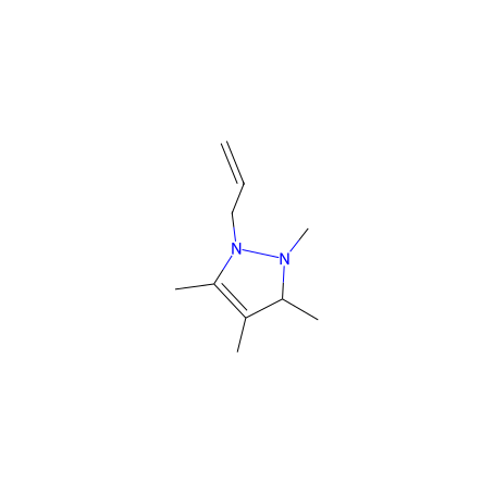 C=CCN1C(C)=C(C)C(C)N1C